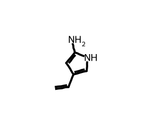 C=Cc1c[nH]c(N)c1